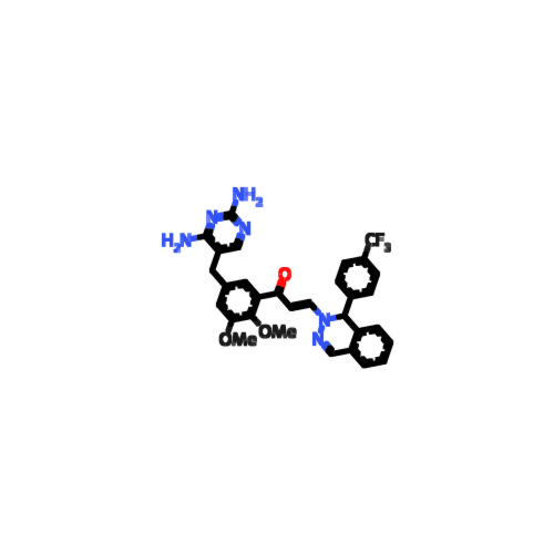 COc1cc(Cc2cnc(N)nc2N)cc(C(=O)/C=C/N2N=Cc3ccccc3C2c2ccc(C(F)(F)F)cc2)c1OC